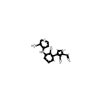 Nc1ccccc1Nc1cccc(-c2csc(C=O)c2Cl)c1Cl